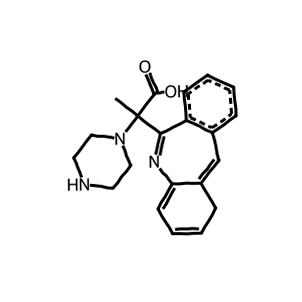 CC(C(=O)O)(C1=NC2=CC=CCC2=Cc2ccccc21)N1CCNCC1